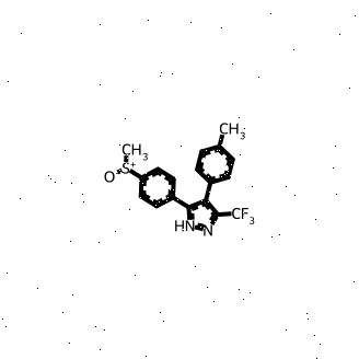 Cc1ccc(-c2c(C(F)(F)F)n[nH]c2-c2ccc([S+](C)[O-])cc2)cc1